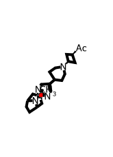 CC(=O)[C@H]1C[C@@H](N2CCC(c3cnc(N4C5CCC4CN(C)C5)nc3)CC2)C1